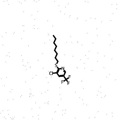 CCCCCCCCSc1ncc(C(F)(F)F)cc1Cl